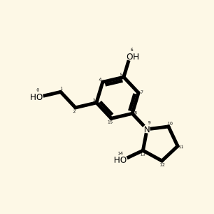 OCCc1cc(O)cc(N2CCCC2O)c1